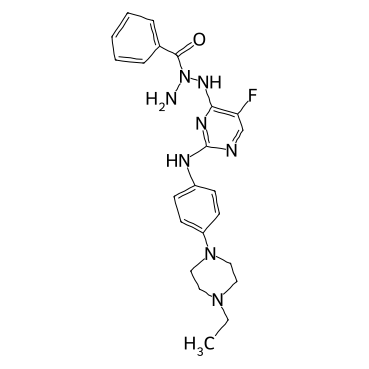 CCN1CCN(c2ccc(Nc3ncc(F)c(NN(N)C(=O)c4ccccc4)n3)cc2)CC1